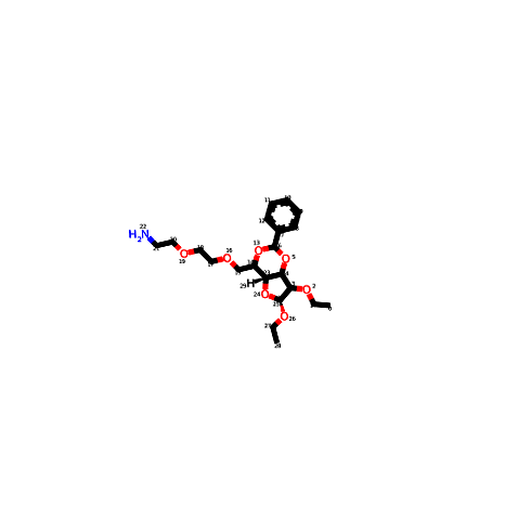 CCOC1C2OC(c3ccccc3)OC(COCCOCCN)[C@H]2O[C@@H]1OCC